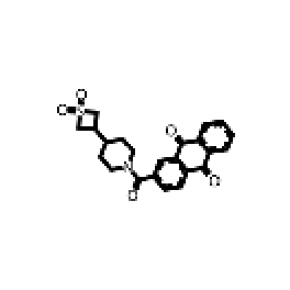 O=C1c2ccccc2C(=O)c2cc(C(=O)N3CCC(C4CS(=O)(=O)C4)CC3)ccc21